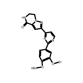 CCCCOc1ccc(-c2nccc(-c3cc4n(n3)CCNC4=O)n2)cc1OCC